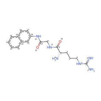 N=C(N)NCCC[C@H](N)C(=O)NCC(=O)Nc1ccc2ccccc2c1